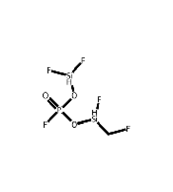 O=P(F)(O[SiH](F)F)O[SiH](F)CF